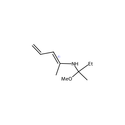 C=C/C=C(\C)NC(C)(CC)OC